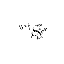 Cl.NC(=O)CCN1CCc2cccc3c2C1CC3=O